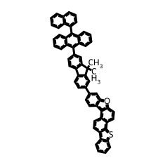 CC1(C)c2cc(-c3ccc4c(c3)oc3ccc5c(ccc6c7ccccc7sc65)c34)ccc2-c2ccc(-c3c4ccccc4c(-c4cccc5ccccc45)c4ccccc34)cc21